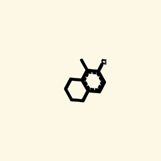 Cc1c(Cl)ccc2c1CCCC2